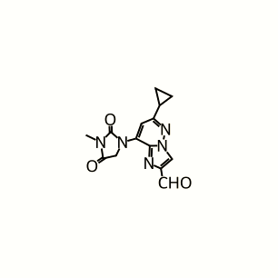 CN1C(=O)CN(c2cc(C3CC3)nn3cc(C=O)nc23)C1=O